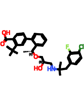 C[C@@H](OC[C@H](O)CNC(C)(C)Cc1ccc(Cl)c(F)c1)c1ccccc1-c1ccc(C(=O)O)c(C(C)(C)C)c1